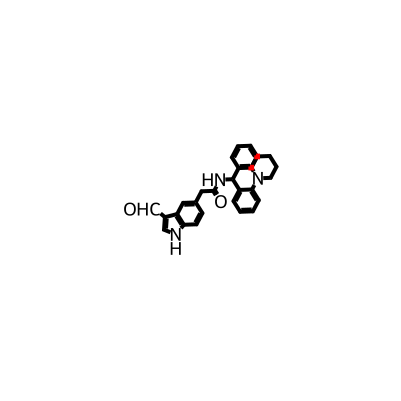 O=Cc1c[nH]c2ccc(CC(=O)NC(c3ccccc3)c3ccccc3N3CCCCC3)cc12